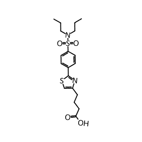 CCCN(CCC)S(=O)(=O)c1ccc(-c2nc(CCCC(=O)O)cs2)cc1